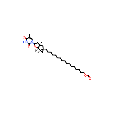 Cc1cn(C2C[C@@]3(C)C[C@]4(CCCCCCCCCCCCCCCCCOC=O)C[C@]4(C)[C@H]3O2)c(=O)[nH]c1=O